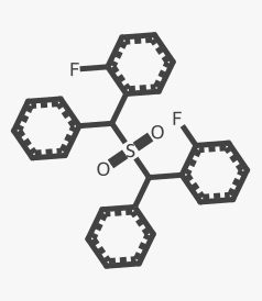 O=S(=O)(C(c1ccccc1)c1ccccc1F)C(c1ccccc1)c1ccccc1F